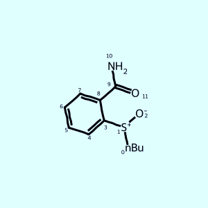 CCCC[S+]([O-])c1ccccc1C(N)=O